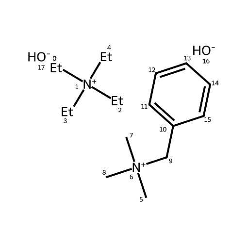 CC[N+](CC)(CC)CC.C[N+](C)(C)Cc1ccccc1.[OH-].[OH-]